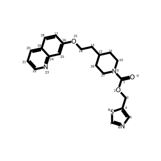 O=C(OCc1cncs1)N1CCC(CCOc2ccc3cccnc3c2)CC1